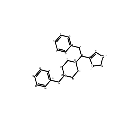 C1=C(C(Cc2ccccc2)N2CCN(Cc3ccccc3)CC2)OCO1